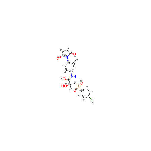 Cc1cc(NC(=O)[C@@](C)(O)CS(=O)(=O)c2ccc(F)cc2)ccc1N1C(=O)C=CC1=O